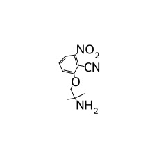 CC(C)(N)COc1cccc([N+](=O)[O-])c1C#N